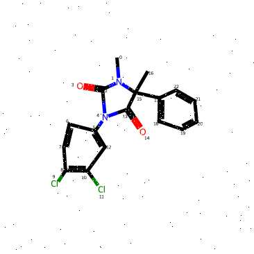 CN1C(=O)N(c2ccc(Cl)c(Cl)c2)C(=O)C1(C)c1cc[c]cc1